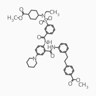 CCN(C1CCC(C(=O)OC)CC1)S(=O)(=O)c1cccc(C(=O)Nc2ccc(N3CCCCC3)cc2C(=O)Nc2cccc(CCc3ccc(C(=O)OC)cc3)c2)c1